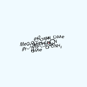 COC(=O)C(CC(C)C)NP(=O)(NC(CC(C)C)C(=O)OC)OCC(OC)C1OC(=O)OC12C(C)C2/C=N\c1c(N)nc(N)nc1OC